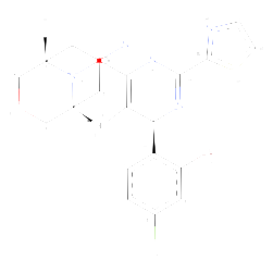 NC1C[C@H]2COC[C@@H](C1)N2CC1=C(C(=O)O)[C@H](c2ccc(F)cc2Br)N=C(c2nccs2)N1